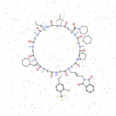 CC[C@H](C)[C@@H]1NC(=O)[C@H](CC(C)C)N(C)C(=O)C[C@@H](C(=O)N2CCCCC2)N(C)C(=O)[C@H](C2CCCCC2)N(C)C(=O)C2(CCCC2)NC(=O)CN(C/C=C/CN2C(=O)c3ccccc3C2=O)C(=O)[C@H](CCc2ccc(C(F)(F)F)c(Cl)c2)NC(=O)CN(C)C(=O)[C@@H](CC2CCCCC2)N(C)C(=O)CN(C)C(=O)CN(C)C1=O